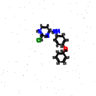 Clc1nccc(Nc2ccc(Oc3ccccc3)cc2)n1